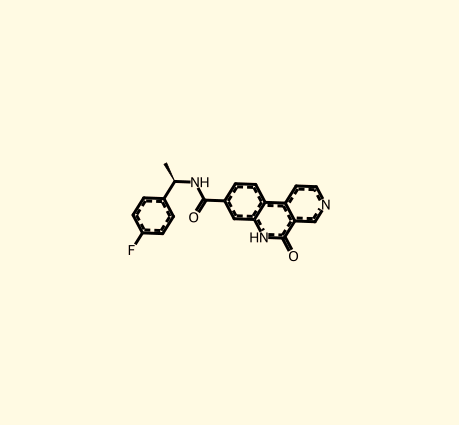 C[C@@H](NC(=O)c1ccc2c(c1)[nH]c(=O)c1cnccc12)c1ccc(F)cc1